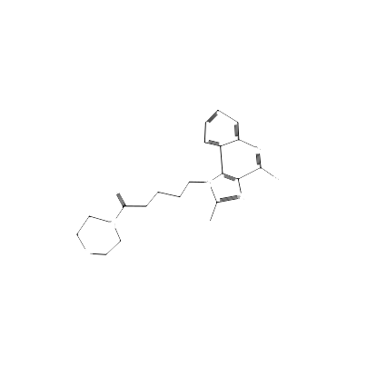 Cc1nc2c(N)nc3ccccc3c2n1CCCCC(=O)N1CCOCC1